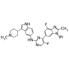 Cc1nc2c(F)cc(-c3nc(Nc4ccc5[nH]cc(C6CCN(C)CC6)c5c4)ncc3F)cc2n1C(C)C